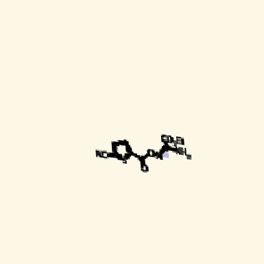 CCOC(=O)/C(N)=N\OC(=O)c1ccc(C#N)s1